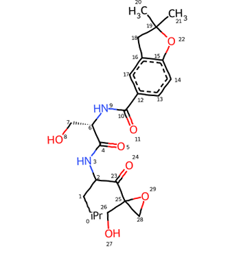 CC(C)CC(NC(=O)[C@H](CO)NC(=O)c1ccc2c(c1)CC(C)(C)O2)C(=O)C1(CO)CO1